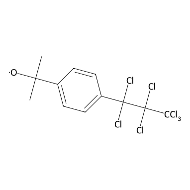 CC(C)([O])c1ccc(C(Cl)(Cl)C(Cl)(Cl)C(Cl)(Cl)Cl)cc1